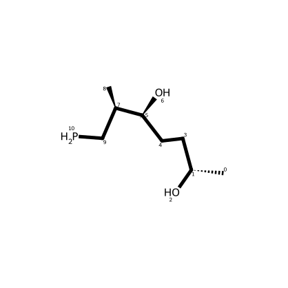 C[C@H](O)CC[C@H](O)[C@H](C)CP